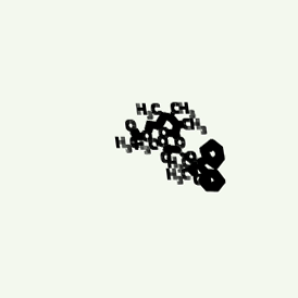 COC(=O)[C@@H](CO[Si](c1ccccc1)(c1ccccc1)C(C)(C)C)OC1OC(COC(C)=O)[C@H](C)[C@H](C)C1C